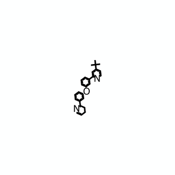 CC(C)(C)c1ccnc(-c2cccc(Oc3cccc(C4=NC=CCC4)c3)c2)c1